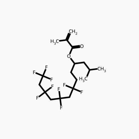 C=C(C)C(=O)OC(CCC(F)(F)CC(F)(F)CC(F)(F)CC(F)(F)F)CC(C)C